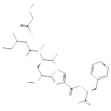 CCC(C)[C@H](NC(=O)CNC)C(=O)N(C)[C@H](CC(OC)c1nc(C(=O)N[C@@H](Cc2ccccc2)C(=O)O)cs1)C(C)C